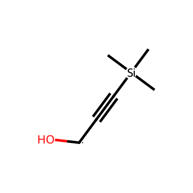 C[Si](C)(C)C#C[CH]O